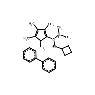 CC1=C(C)C(C)[C]([Zr]([NH]C2CCC2)[SiH](C)C)=C1C.c1ccc(-c2ccccc2)cc1